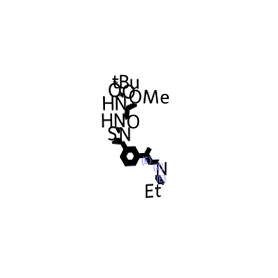 CC/C=C/N=C\C=C(/C)c1cccc(-c2csc(NC(=O)C(COC)NC(=O)OC(C)(C)C)n2)c1